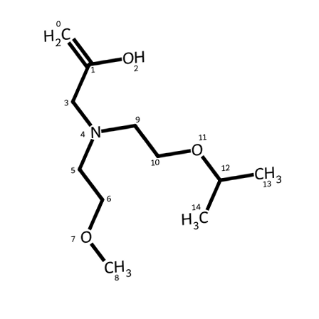 C=C(O)CN(CCOC)CCOC(C)C